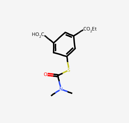 CCOC(=O)c1cc(SC(=O)N(C)C)cc(C(=O)O)c1